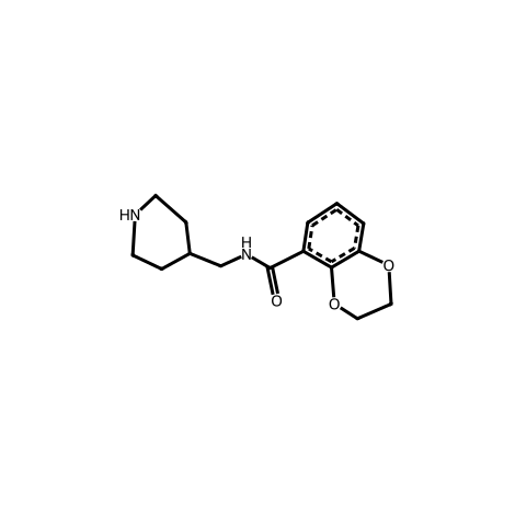 O=C(NCC1CCNCC1)c1cccc2c1OCCO2